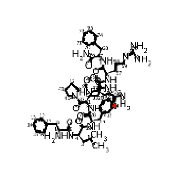 CC(C)C[C@@H](NC(=O)[C@H](N)Cc1ccccc1)C(=O)N[C@H](Cc1ccccc1)C(=O)N[C@H](CCC(N)=O)C(=O)N1CCC[C@@H]1C(=O)N[C@H](CCC(N)=O)C(=O)N[C@H](CCCN=C(N)N)C(=O)N[C@H](Cc1ccccc1)C(N)=O